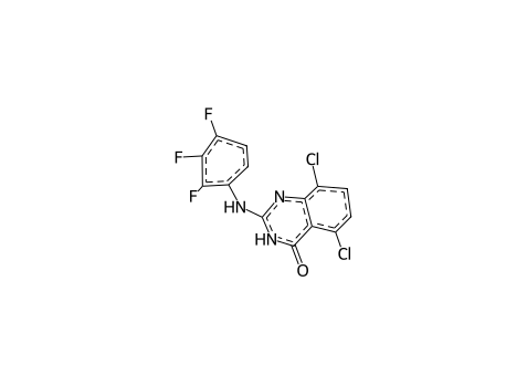 O=c1[nH]c(Nc2ccc(F)c(F)c2F)nc2c(Cl)ccc(Cl)c12